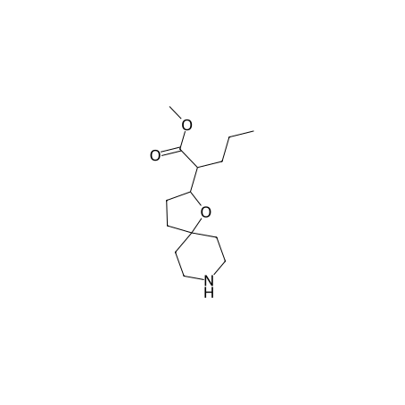 CCCC(C(=O)OC)C1CCC2(CCNCC2)O1